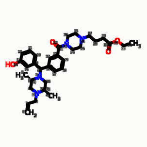 C=CCN1C[C@H](C)N(C(c2cccc(O)c2)c2cccc(C(=O)N3CCN(CCCC(=O)OCC)CC3)c2)C[C@H]1C